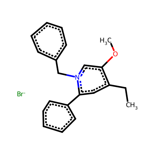 CCc1cc(-c2ccccc2)[n+](Cc2ccccc2)cc1OC.[Br-]